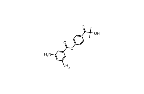 CC(C)(O)C(=O)c1ccc(OC(=O)c2cc(N)cc(N)c2)cc1